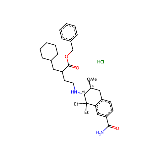 CCC1(CC)c2cc(C(N)=O)ccc2C[C@H](OC)[C@H]1NCCC(CC1CCCCC1)C(=O)OCc1ccccc1.Cl